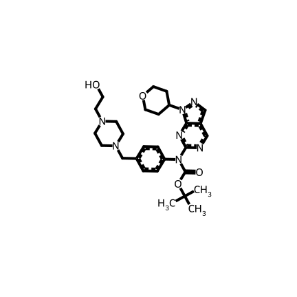 CC(C)(C)OC(=O)N(c1ccc(CN2CCN(CCO)CC2)cc1)c1ncc2cnn(C3CCOCC3)c2n1